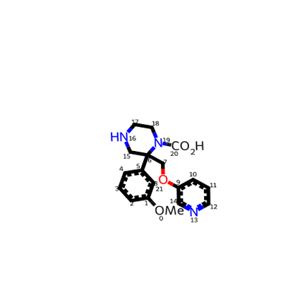 COc1cccc(C2(COc3cccnc3)CNCCN2C(=O)O)c1